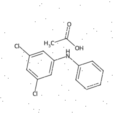 CC(=O)O.Clc1cc(Cl)cc(Nc2ccccc2)c1